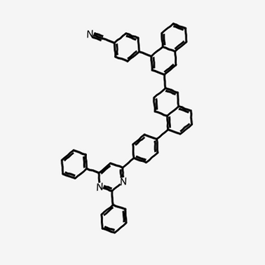 N#Cc1ccc(-c2cc(-c3ccc4c(-c5ccc(-c6cc(-c7ccccc7)nc(-c7ccccc7)n6)cc5)cccc4c3)cc3ccccc23)cc1